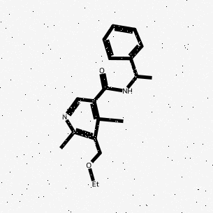 CCOCc1c(C)ncc(C(=O)NC(C)c2ccccc2)c1C